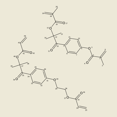 C=C(C)C(=O)Oc1ccc(C(=O)C(C)(C)OC(=O)C(=C)C)cc1.C=CC(=O)OCCOc1ccc(C(=O)C(C)(C)OC(=O)C=C)cc1